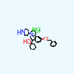 Cl.Cl.OC1(C(C[N+]2(C3CCNCC3)CCCCC2)c2ccc(OCCc3ccccc3)cc2)CCCCC1